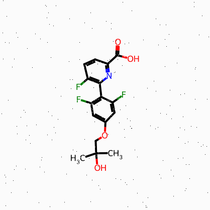 CC(C)(O)COc1cc(F)c(-c2nc(C(=O)O)ccc2F)c(F)c1